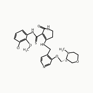 COc1c(Cl)cccc1NC(=S)C1=C(NCc2ccncc2OC[C@H]2COCCN2C)CCNC1=O